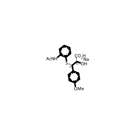 COc1ccc([C@H](Sc2ccccc2NC(C)=O)[C@@H](O)C(=O)O)cc1.[Na]